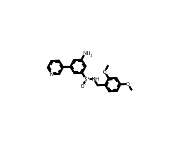 COc1ccc(CN[S+]([O-])c2cc(N)cc(-c3cccnc3)c2)c(OC)c1